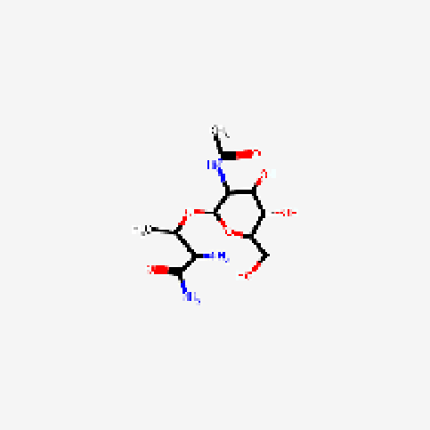 CC(=O)NC1C(O)[C@H](O)C(CO)O[C@H]1O[C@H](C)C(N)C(N)=O